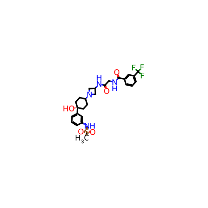 CS(=O)(=O)Nc1cccc([C@]2(O)CC[C@H](N3CC(NC(=O)CNC(=O)c4cccc(C(F)(F)F)c4)C3)CC2)c1